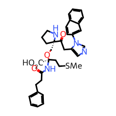 CSCC[C@@](NC(=O)CCc1ccccc1)(OC[C@]1(C(=O)Cc2cncn2-c2ccc3ccccc3c2)CCCN1)C(=O)O